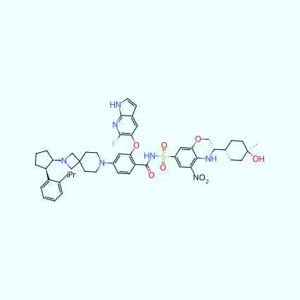 CC(C)c1ccccc1[C@H]1CCC[C@H]1N1CC2(CCN(c3ccc(C(=O)NS(=O)(=O)c4cc5c(c([N+](=O)[O-])c4)N[C@@H]([C@H]4CC[C@](C)(O)CC4)CO5)c(Oc4cc5cc[nH]c5nc4F)c3)CC2)C1